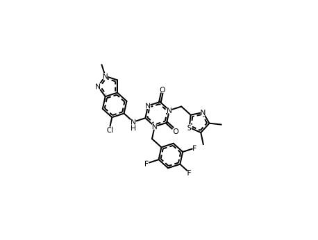 Cc1nc(Cn2c(=O)nc(Nc3cc4cn(C)nc4cc3Cl)n(Cc3cc(F)c(F)cc3F)c2=O)sc1C